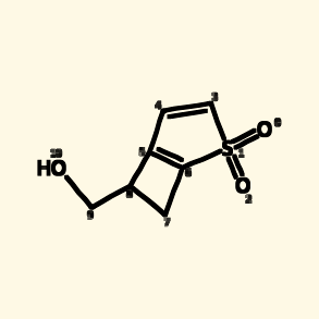 O=S1(=O)C=CC2=C1CC2CO